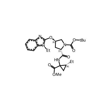 CC[C@@H]1CC1(NC(=O)[C@@H]1C[C@@H](Oc2nc3ccccc3n2CC)CN1C(=O)OC(C)(C)C)C(=O)OC